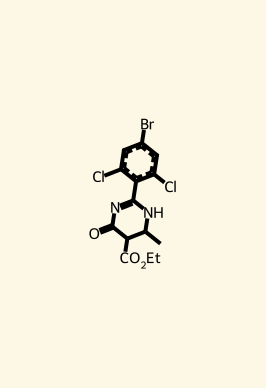 CCOC(=O)C1C(=O)N=C(c2c(Cl)cc(Br)cc2Cl)NC1C